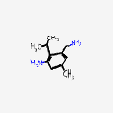 Cc1cc(N)c(C(C)C)c(CN)c1